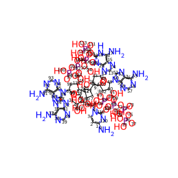 Nc1ccn([C@@H]2O[C@](C[C@H]3O[C@@H](n4cnc5c(N)[nH]c(=O)nc54)[C@H](O)[C@@H]3O)(C(C[C@H]3O[C@@H](n4cnc5c(N)ncnc54)[C@H](O)[C@@H]3O)C[C@H]3O[C@@H](n4cnc5c(N)ncnc54)[C@H](O)[C@@H]3OP(=O)(O)OP(=O)(O)OP(=O)(O)OP(=O)(O)O)[C@](O)(C[C@H]3O[C@@H](n4cnc5c(N)ncnc54)[C@H](OP(=O)(O)OP(=O)(O)OP(=O)(O)OP(=O)(O)O)[C@@H]3O)[C@H]2O)c(=O)n1